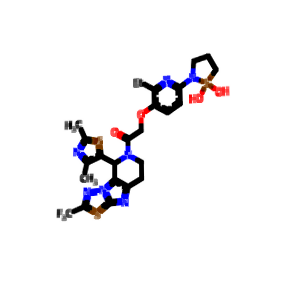 CCc1nc(N2CCCS2(O)O)ccc1OCC(=O)N1CCc2nc3sc(C(F)(F)F)nn3c2C1c1sc(C)nc1C